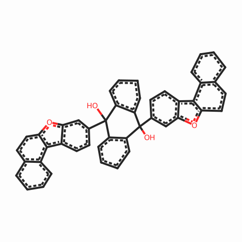 OC1(c2ccc3c(c2)oc2ccc4ccccc4c23)c2ccccc2C(O)(c2ccc3c(c2)oc2ccc4ccccc4c23)c2ccccc21